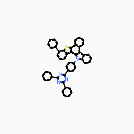 c1ccc(-c2nc(-c3ccccc3)nc(-c3ccc(-n4c5ccccc5c5c6ccccc6c6sc7c(-c8ccccc8)cccc7c6c54)cc3)n2)cc1